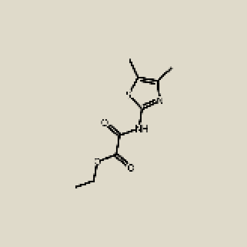 CCOC(=O)C(=O)Nc1nc(C)c(C)s1